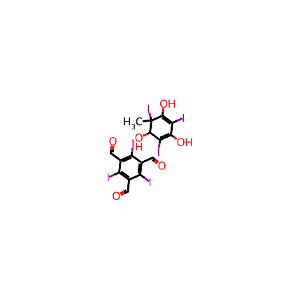 CC1(I)C(O)=C(I)C(O)=C(I)C1O.O=Cc1c(I)c(C=O)c(I)c(C=O)c1I